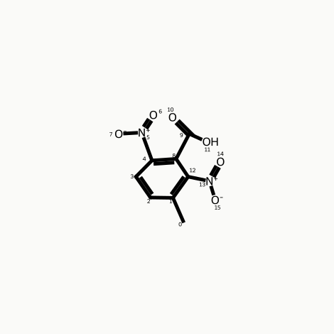 Cc1ccc([N+](=O)[O-])c(C(=O)O)c1[N+](=O)[O-]